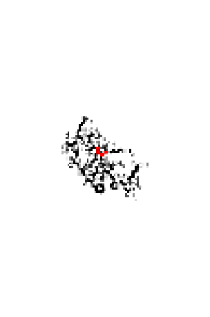 CC[C@H](C)[C@H](NC(=O)[C@H](CCC(=O)O)NC(=O)[C@@H](NC(=O)[C@H](CCCCN)NC(=O)[C@@H](NC(=O)CNC(=O)CNC(=O)CNC(=O)[C@H](Cc1ccccc1)NC(=O)[C@@H](NC(=O)[C@H](CC(C)C)NC(=O)[C@@H]1CCCN1C(=O)[C@H](CC(N)=O)NC(=O)[C@@H](N)CCC(=O)O)[C@@H](C)O)[C@@H](C)O)C(C)C)C(=O)N[C@@H](CCCCN)C(=O)O